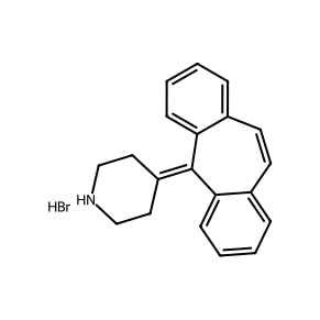 Br.C1=Cc2ccccc2C(=C2CCNCC2)c2ccccc21